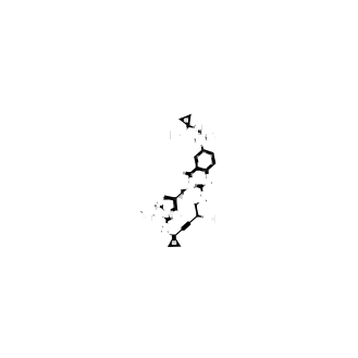 [2H]C([2H])(c1cnn(C)c1)n1c(NCC(O)C#CC2(N(C)C(=O)OC(C)(C)C)CC2)nc2ccc(S(=O)(=O)NC3(C)CC3)cc2c1=O